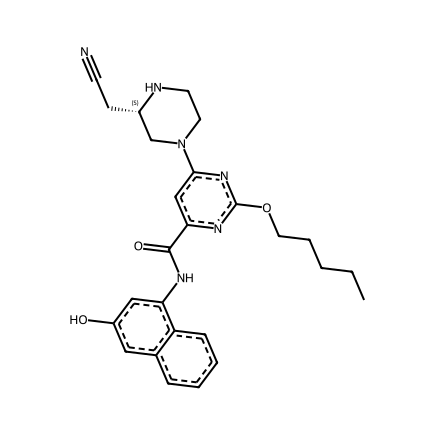 CCCCCOc1nc(C(=O)Nc2cc(O)cc3ccccc23)cc(N2CCN[C@@H](CC#N)C2)n1